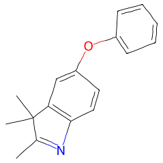 CC1=Nc2ccc(Oc3ccccc3)cc2C1(C)C